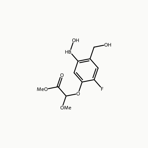 COC(=O)C(OC)Oc1cc(BO)c(CO)cc1F